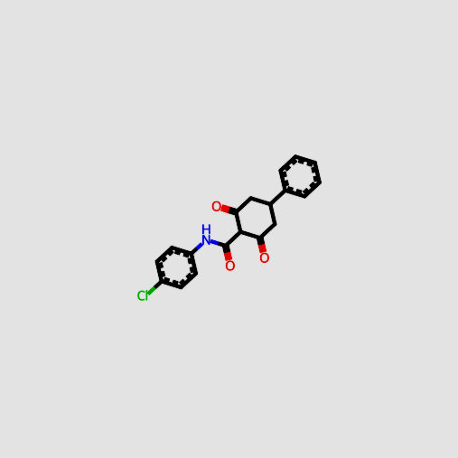 O=C1CC(c2ccccc2)CC(=O)C1C(=O)Nc1ccc(Cl)cc1